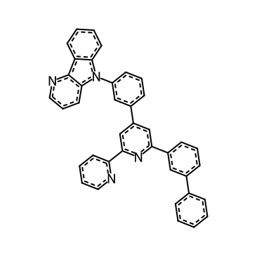 c1ccc(-c2cccc(-c3cc(-c4cccc(-n5c6ccccc6c6ncccc65)c4)cc(-c4ccccn4)n3)c2)cc1